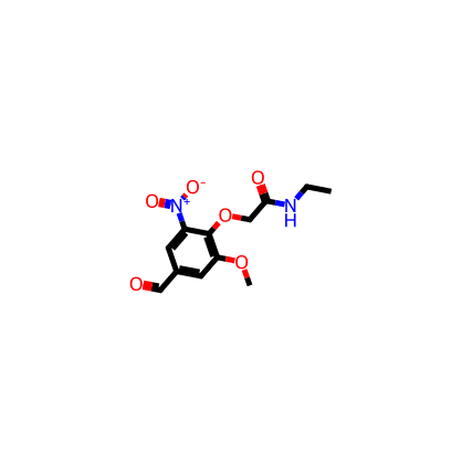 CCNC(=O)COc1c(OC)cc(C=O)cc1[N+](=O)[O-]